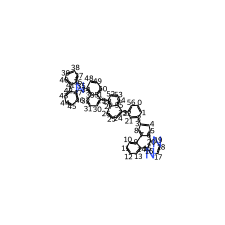 c1cc(-c2ccc3c(c2)c2ccccc2c2nccnc32)cc(-c2cccc3c(-c4cccc5c(-n6c7ccccc7c7ccccc76)cccc45)cccc23)c1